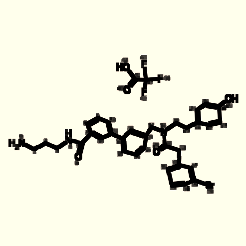 NCCCNC(=O)c1cccc(-c2cccc(CN(CCc3ccc(O)cc3)C(=O)Cc3cccc(Br)c3)c2)c1.O=C(O)C(F)(F)F